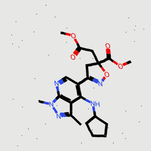 COC(=O)CC1(C(=O)OC)CC(c2cnc3c(c(C)nn3C)c2NC2CCCC2)=NO1